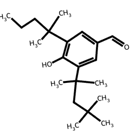 CCCC(C)(C)c1cc(C=O)cc(C(C)(C)CC(C)(C)C)c1O